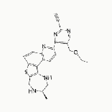 C#Cc1ncc(COCC)c(-c2ccc3c(ccc4sc5c(c43)NC[C@@H](C)NC5)n2)n1